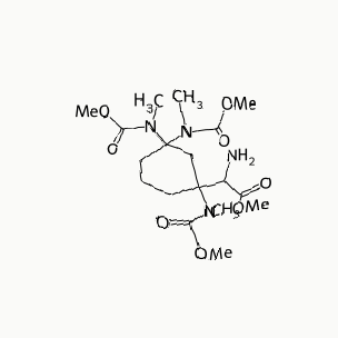 COC(=O)C(N)C1(N(C)C(=O)OC)CCCC(N(C)C(=O)OC)(N(C)C(=O)OC)C1